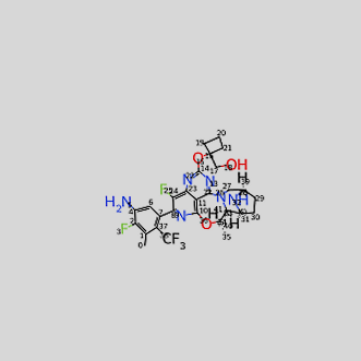 Cc1c(F)c(N)cc(-c2nc3c4c(nc(OC5(CO)CCC5)nc4c2F)N2C[C@H]4CC[C@H](N4)[C@H]2[C@H](C)O3)c1C(F)(F)F